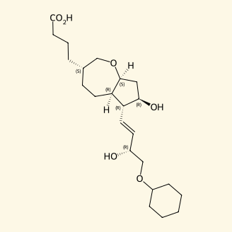 O=C(O)CCC[C@H]1CC[C@@H]2[C@@H](C=C[C@@H](O)COC3CCCCC3)[C@H](O)C[C@@H]2OC1